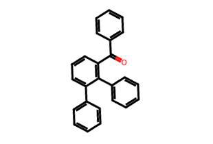 O=C(c1ccccc1)c1cccc(-c2ccccc2)c1-c1ccccc1